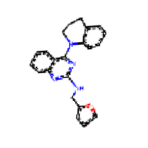 c1coc(CNc2nc(N3CCCc4ccccc43)c3ccccc3n2)c1